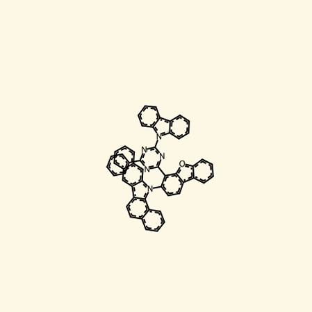 c1ccc(-c2nc(-c3c(-n4c5cc6ccccc6cc5c5ccc6ccccc6c54)ccc4c3oc3ccccc34)nc(-n3c4ccccc4c4ccccc43)n2)cc1